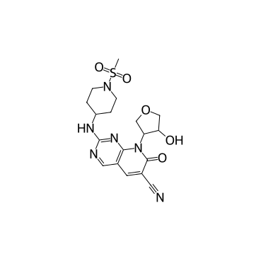 CS(=O)(=O)N1CCC(Nc2ncc3cc(C#N)c(=O)n(C4COCC4O)c3n2)CC1